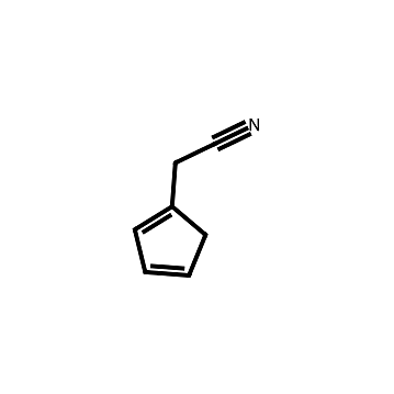 N#CCC1=CC=CC1